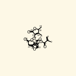 C=C(C)C(=O)Oc1c2c3oc1c(C(=O)OC1=C(C)C(C)OC1=O)c3C(=O)O2